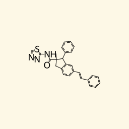 CC1(C(=O)Nc2nncs2)Cc2ccc(C=Cc3ccccc3)cc2C1c1ccccc1